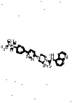 CC(C)C1CN(c2ccc(-c3ccc(S(=O)(=O)N(C)C)cc3)nn2)CCN1C(=S)Nc1cccc2ncccc12